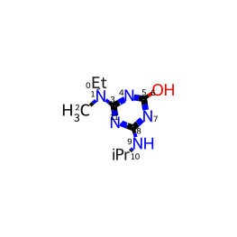 CCN(C)c1nc(O)nc(NC(C)C)n1